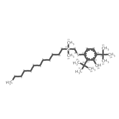 CCCCCCCCCCCC[Si](C)(C)CSc1ccc(C(C)(C)C)c(O)c1C(C)(C)C